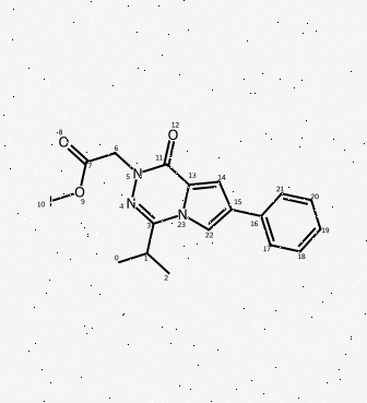 CC(C)c1nn(CC(=O)OI)c(=O)c2cc(-c3ccccc3)cn12